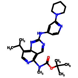 CC(C)c1cnc(N(C)C(=O)OC(C)(C)C)c2cnc(Nc3ccnc(N4CCCCC4)c3)nc12